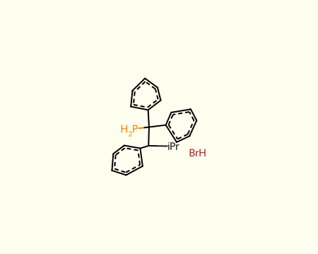 Br.CC(C)C(c1ccccc1)C(P)(c1ccccc1)c1ccccc1